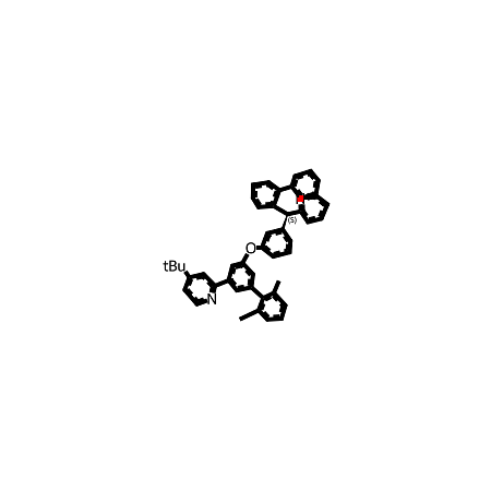 Cc1cccc(C)c1-c1cc(Oc2cccc([C@H](c3ccccn3)c3ccccc3-c3ccccc3)c2)cc(-c2cc(C(C)(C)C)ccn2)c1